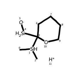 C[SiH](C)C1([SiH2][O])CCCCO1.[H+]